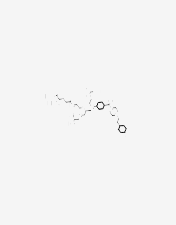 CC(C)OCCN(C(=O)C(SCCNC(=O)CC[C@@H](N)C(=O)O)C(=O)NCC(=O)O)c1ccc(C(=O)N2CCN(CCc3ccc(Cl)cc3)CC2)cc1